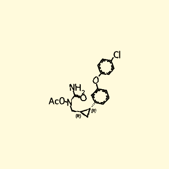 CC(=O)ON(C[C@@H]1C[C@H]1c1cccc(Oc2ccc(Cl)cc2)c1)C(N)=O